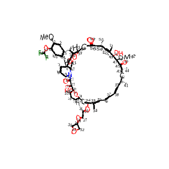 CO[C@@H]1C[C@H](CC2[C@H]3CCCN4C(=O)C(=O)[C@]5(O)O[C@@H](CC[C@H]5C)C[C@H](OCCOC5COC5)/C(C)=C/C=C/C=C/[C@@H](C)C[C@@H](C)C(=O)[C@H](OC)[C@H](O)/C(C)=C/[C@@H](C)C(=O)C[C@@H]2OC(=O)C34)CC[C@H]1OC(F)F